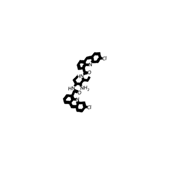 CCC(NC(=O)c1cccc2cc3ccc(Cl)cc3nc12)C(N)C(CC)NC(=O)c1cccc2cc3ccc(Cl)cc3nc12